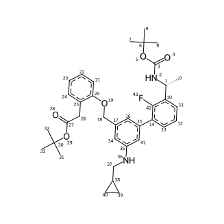 C[C@@H](NC(=O)OC(C)(C)C)c1cccc(-c2cc(COc3ccccc3CC(=O)OC(C)(C)C)cc(NCC3CC3)c2)c1F